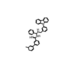 CC1C=C(c2cccc(C(=N)NC(NCc3cccc(-n4c5ccccc5c5ccccc54)c3)c3ccccc3)c2)C=CC1